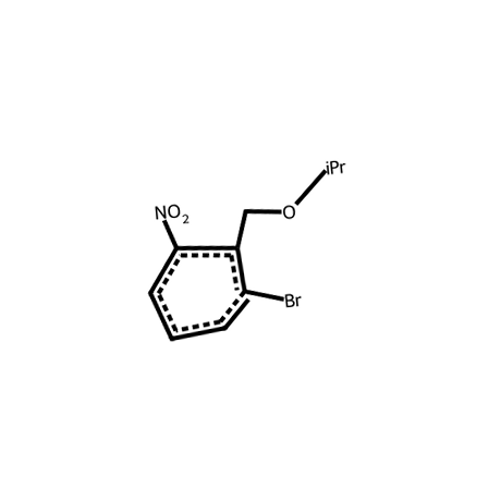 CC(C)OCc1c(Br)cccc1[N+](=O)[O-]